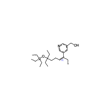 CC/C(=C/CCC(CC)(CC)O[Si](CC)(CC)CC)c1cncc(CO)c1